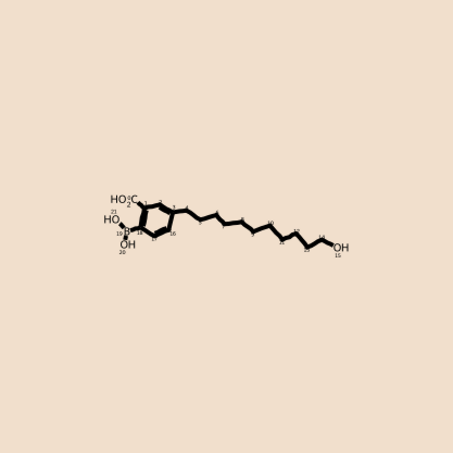 O=C(O)c1cc(CCCCCCCCCCCO)ccc1B(O)O